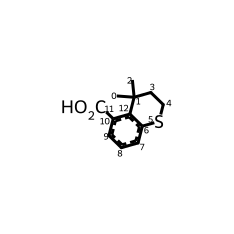 CC1(C)CCSc2cccc(C(=O)O)c21